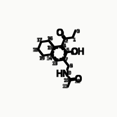 CCC(=O)c1c(O)c(CNC(C)=O)cc2c1CCCC2